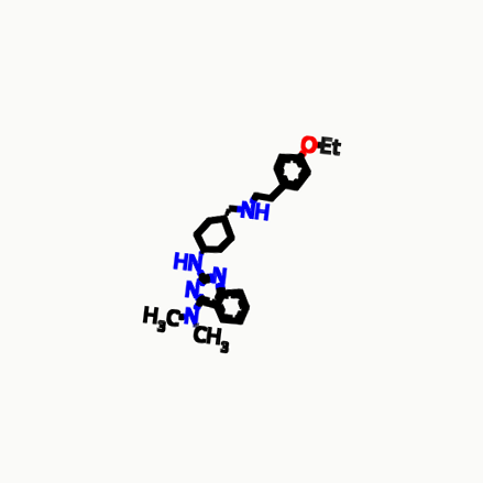 CCOc1ccc(CCNC[C@H]2CC[C@@H](Nc3nc(N(C)C)c4ccccc4n3)CC2)cc1